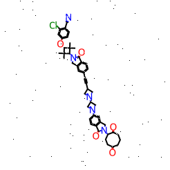 CC1(C)[C@H](Oc2ccc(C#N)c(Cl)c2)C(C)(C)[C@H]1N1Cc2cc(C#CC3CN(C4CN(c5ccc6c(c5)CN(C5CCC(=O)CCCC5=O)C6=O)C4)C3)ccc2C1=O